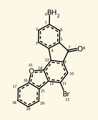 Bc1ccc2c(c1)C(=O)c1cc(Br)c3c(oc4ccccc43)c1-2